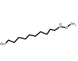 CCCCCCCCCCCCCCCCCC[SiH]O[SiH3]